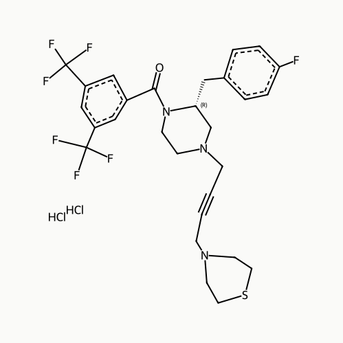 Cl.Cl.O=C(c1cc(C(F)(F)F)cc(C(F)(F)F)c1)N1CCN(CC#CCN2CCSCC2)C[C@H]1Cc1ccc(F)cc1